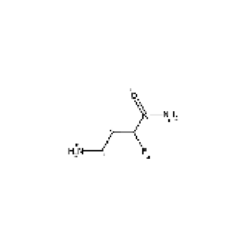 NCCC(F)C(N)=O